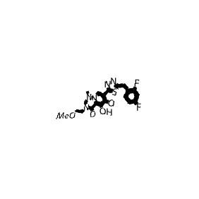 COCCN1CN(C)n2cc(-c3nnc(Cc4ccc(F)cc4F)s3)c(=O)c(O)c2C1=O